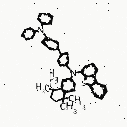 CC1(C)CCC(C)(C)c2cc(N(c3ccc(-c4ccc(N(c5ccccc5)c5ccccc5)cc4)cc3)c3cccc4c3sc3ccccc34)ccc21